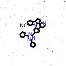 N#Cc1ccc2c3ccccc3n(-c3cc(-c4nc(-c5ccccc5)nc(-c5ccccc5)n4)ccc3-c3ccncc3)c2c1